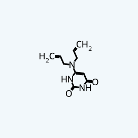 C=CCN(CC=C)c1cc(=O)[nH]c(=O)[nH]1